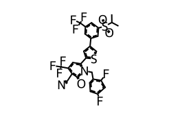 CC(C)S(=O)(=O)c1cc(-c2csc(-c3cc(C(F)(F)F)c(C#N)c(=O)n3Cc3ccc(F)cc3F)c2)cc(C(F)(F)F)c1